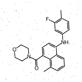 Cc1ccc(Nc2ccc(C(=O)N3CCOCC3)c3c(C)cccc23)cc1F